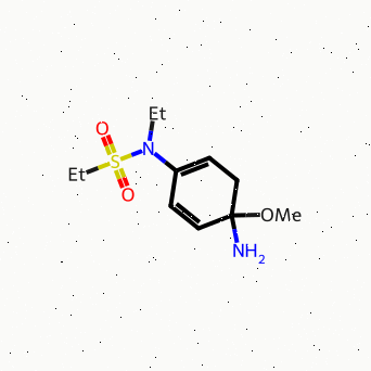 CCN(C1=CCC(N)(OC)C=C1)S(=O)(=O)CC